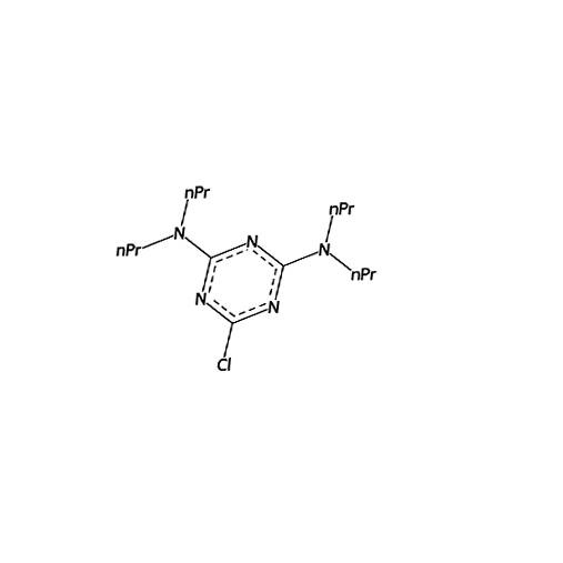 CCCN(CCC)c1nc(Cl)nc(N(CCC)CCC)n1